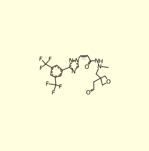 CN(CC1(CC=O)COC1)NC(=O)/C=C\n1cnc(-c2cc(C(F)(F)F)cc(C(F)(F)F)c2)n1